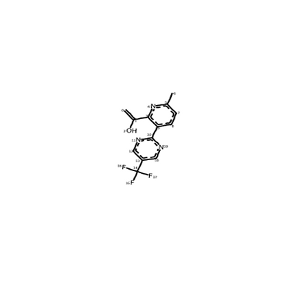 C=C(O)c1nc(C)ccc1-c1ncc(C(F)(F)F)cn1